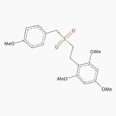 COc1ccc(CS(=O)(=O)CCc2c(OC)cc(OC)cc2OC)cc1